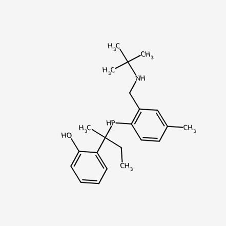 CCC(C)(Pc1ccc(C)cc1CNC(C)(C)C)c1ccccc1O